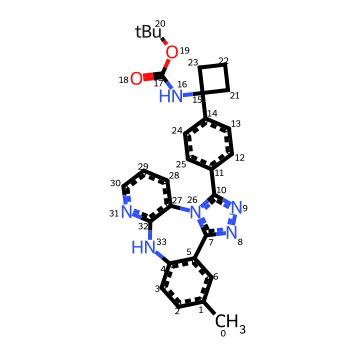 Cc1ccc2c(c1)-c1nnc(-c3ccc(C4(NC(=O)OC(C)(C)C)CCC4)cc3)n1-c1cccnc1N2